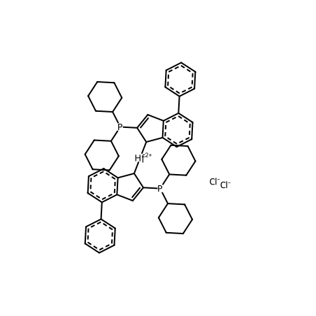 C1=C(P(C2CCCCC2)C2CCCCC2)[CH]([Hf+2][CH]2C(P(C3CCCCC3)C3CCCCC3)=Cc3c(-c4ccccc4)cccc32)c2cccc(-c3ccccc3)c21.[Cl-].[Cl-]